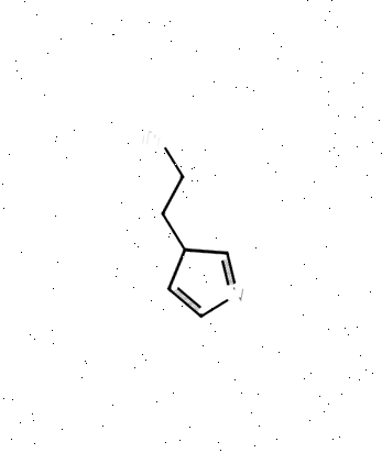 CC(C)CCC1C=CN=C1